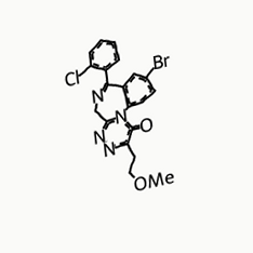 COCCc1nnc2n(c1=O)-c1ccc(Br)cc1C(c1ccccc1Cl)=NC2